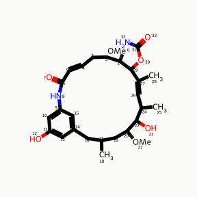 COC1CC/C=C/C(=O)Nc2cc(O)cc(c2)CC(C)CC(OC)C(O)C(C)/C=C(\C)C1OC(N)=O